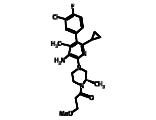 COCCC(=O)N1CCN(c2nc(C3CC3)c(-c3ccc(F)c(Cl)c3)c(C)c2N)C[C@H]1C